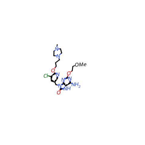 COCCOc1nc(N)c2[nH]c(=O)n(Cc3cnc(OCCCN4CCN(C)CC4)c(Cl)c3)c2n1